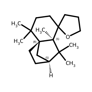 CC1(C)CCC2(CCCO2)[C@@]2(C)C(C)(C)[C@H]3CC[C@@]12C3